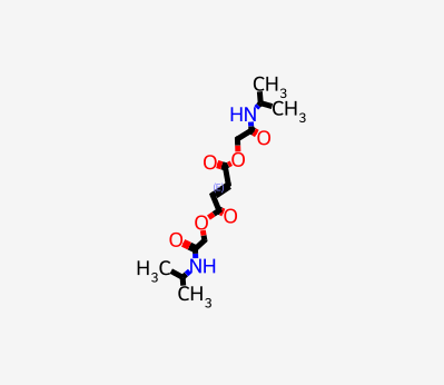 CC(C)NC(=O)COC(=O)/C=C/C(=O)OCC(=O)NC(C)C